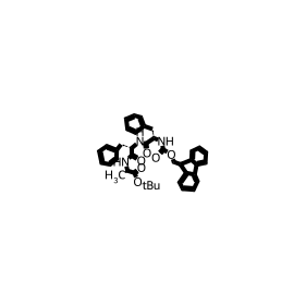 C[C@H](NC(=O)[C@H](Cc1ccccc1)NC(=O)[C@H](Cc1ccccc1)NC(=O)OCC1c2ccccc2-c2ccccc21)C(=O)OC(C)(C)C